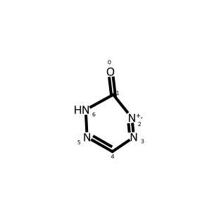 O=C1[N+]=NC=NN1